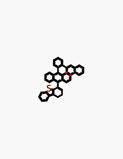 C1=C(c2c3ccccc3c(-c3ccccc3-c3ccc4ccccc4c3)c3ccccc23)c2sc3ccccc3c2CC1